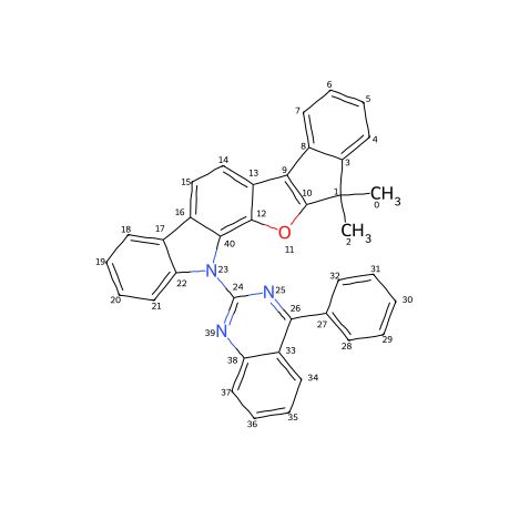 CC1(C)c2ccccc2-c2c1oc1c2ccc2c3ccccc3n(-c3nc(-c4ccccc4)c4ccccc4n3)c21